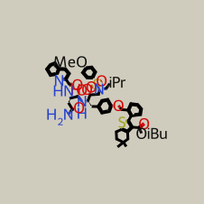 COc1ccc(S(=O)(=O)N(CC(C)C)C[C@@H](O)[C@H](Cc2ccc(OCc3ccccc3-c3sc4c(c3C(=O)OCC(C)C)CC(C)(C)CC4)cc2)NC(=O)[C@H](CC(N)=O)NC(=O)c2ccc3ccccc3n2)cc1